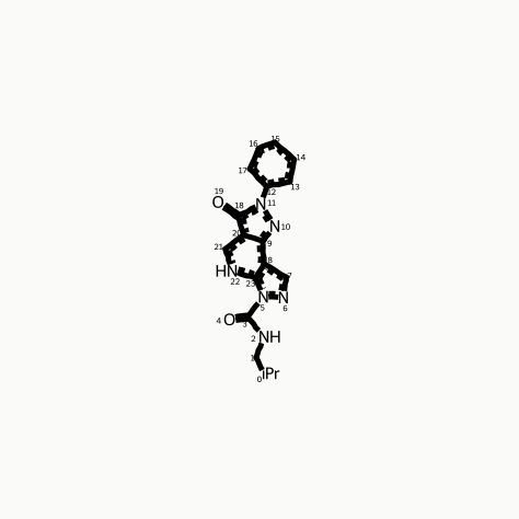 CC(C)CNC(=O)n1ncc2c3nn(-c4ccccc4)c(=O)c-3c[nH]c21